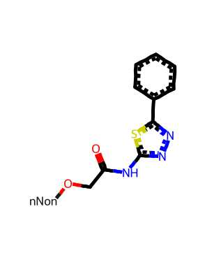 CCCCCCCCCOCC(=O)Nc1nnc(-c2ccccc2)s1